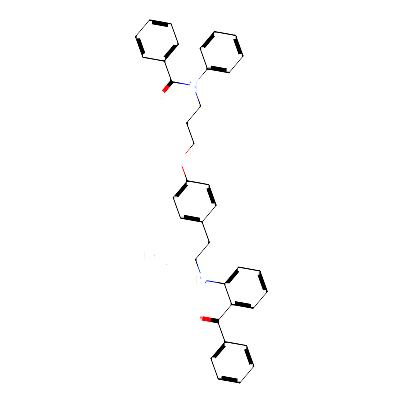 O=C(c1ccccc1)c1ccccc1N[C@@H](Cc1ccc(OCCCN(C(=O)c2ccccc2)c2ccccc2)cc1)C(=O)O